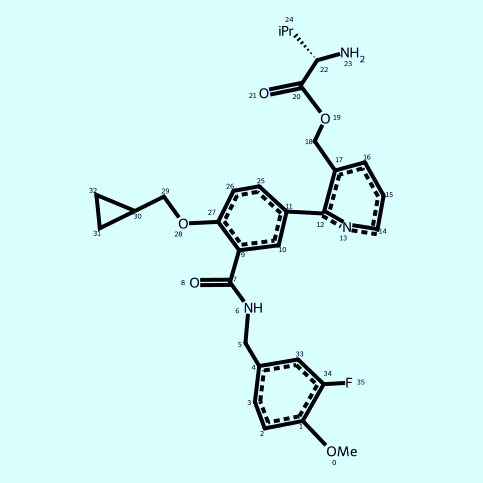 COc1ccc(CNC(=O)c2cc(-c3ncccc3COC(=O)[C@@H](N)C(C)C)ccc2OCC2CC2)cc1F